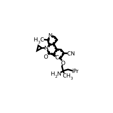 Cc1nccc2c3cc(C#N)c(OCC(C)(N)CC(C)C)cc3c(=O)n(C3CC3)c12